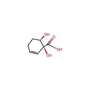 O=C(O)[C@]1(O)C=CCC[C@H]1O